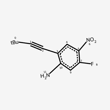 CC(C)(C)C#Cc1cc([N+](=O)[O-])c(F)cc1N